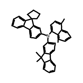 Cc1ccc(N(c2ccc3c(c2)C(C)(C)c2ccccc2-3)c2ccc3c(c2)C2(CCCC2)c2ccccc2-3)c2c(C)cccc12